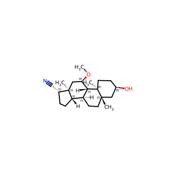 CO[C@@H]1C[C@]2(C)[C@@H](C#N)CC[C@H]2[C@@H]2CC[C@@]3(C)C[C@H](O)CC[C@]3(C)[C@H]21